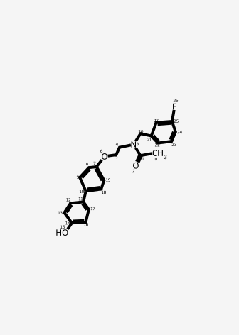 CC(=O)N(CCOc1ccc(-c2ccc(O)cc2)cc1)Cc1cccc(F)c1